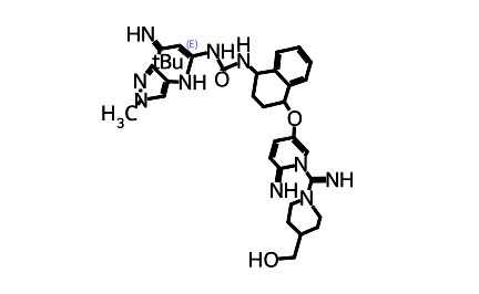 Cn1cc(N/C(=C\C(=N)C(C)(C)C)NC(=O)NC2CCC(Oc3ccc(=N)n(C(=N)N4CCC(CO)CC4)c3)c3ccccc32)cn1